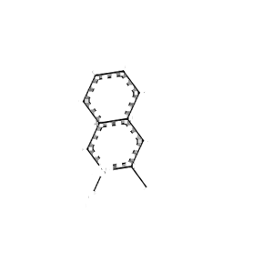 Cc1cc2ccccc2c[n+]1Cl